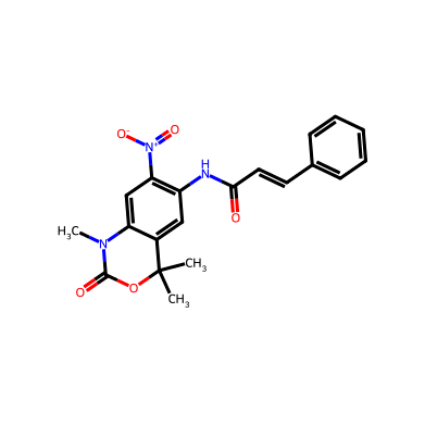 CN1C(=O)OC(C)(C)c2cc(NC(=O)C=Cc3ccccc3)c([N+](=O)[O-])cc21